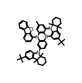 Cc1cc2c3c(c1)N1c4c(cc(C(C)(C)C)cc4C4(C)CCCCC14C)B3c1ccc(N3c4ccc(C(C)(C)C)cc4C4(C)CCCCC34C)cc1N2c1cccc2c1oc1ccccc12